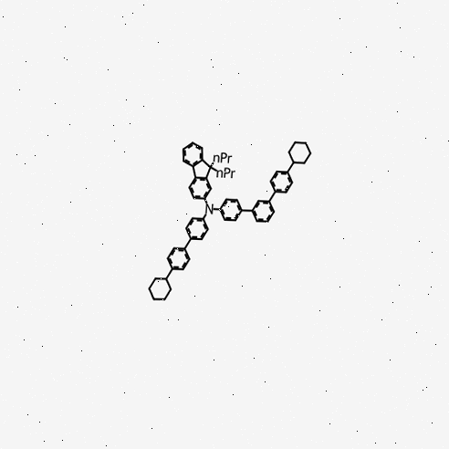 CCCC1(CCC)c2ccccc2-c2ccc(N(c3ccc(-c4ccc(C5CCCCC5)cc4)cc3)c3ccc(-c4cccc(-c5ccc(C6CCCCC6)cc5)c4)cc3)cc21